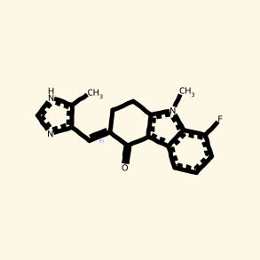 Cc1[nH]cnc1/C=C1\CCc2c(c3cccc(F)c3n2C)C1=O